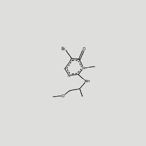 COCC(C)Nc1ncc(Br)c(=O)n1C